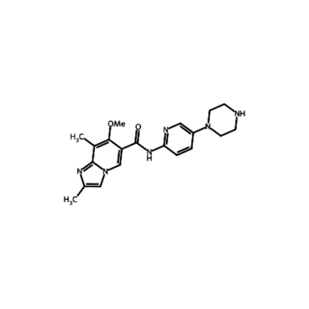 COc1c(C(=O)Nc2ccc(N3CCNCC3)cn2)cn2cc(C)nc2c1C